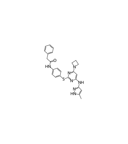 Cc1cc(Nc2cc(N3CCC3)nc(Sc3ccc(NC(=O)Cc4ccccc4)cc3)n2)n[nH]1